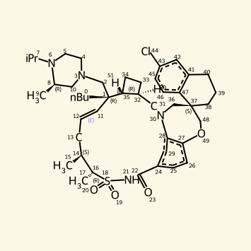 CCCC[C@]1(CN2CCN(C(C)C)[C@H](C)C2)/C=C/C[C@H](C)[C@@H](C)S(=O)(=O)NC(=O)c2ccc3c(c2)N(C[C@@H]2CC[C@H]21)C[C@@]1(CCCc2cc(Cl)ccc21)CO3